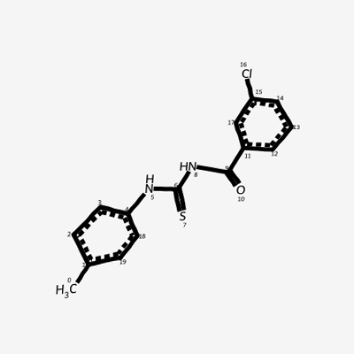 Cc1ccc(NC(=S)NC(=O)c2cccc(Cl)c2)cc1